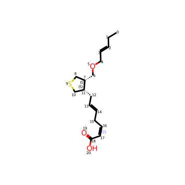 CCC=CCOC[C@H]1CSC[C@H]1CC=CC/C=C\C(=O)O